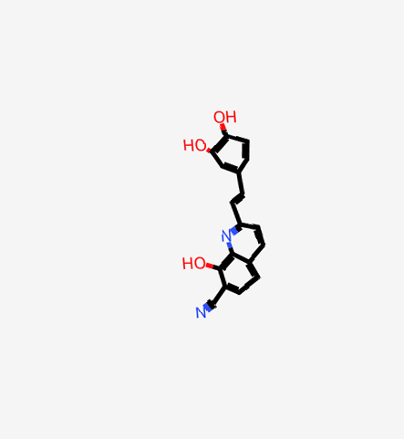 N#Cc1ccc2ccc(C=Cc3ccc(O)c(O)c3)nc2c1O